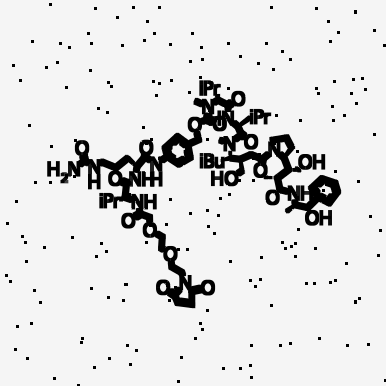 CC[C@H](C)[C@@H]([C@H](CO)CC(=O)N1CCC[C@H]1[C@H](CO)[C@@H](C)C(=O)N[C@H](C)[C@@H](O)c1ccccc1)N(C)C(=O)[C@@H](NC(=O)[C@H](C(C)C)N(C)C(=O)OCc1ccc(NC(=O)[C@H](CCCNC(N)=O)NC(=O)[C@@H](NC(=O)COCCOCCN2C(=O)C=CC2=O)C(C)C)cc1)C(C)C